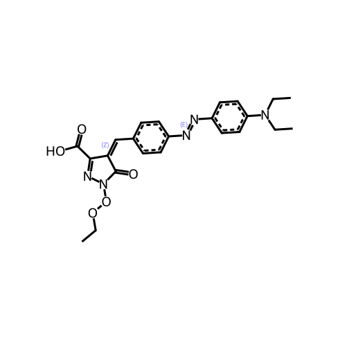 CCOON1N=C(C(=O)O)/C(=C/c2ccc(/N=N/c3ccc(N(CC)CC)cc3)cc2)C1=O